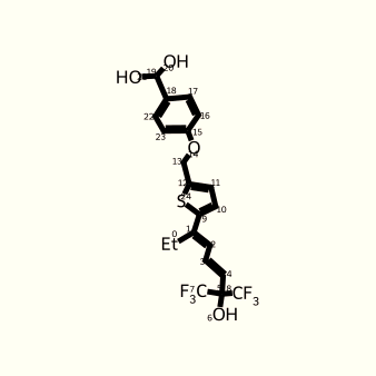 CCC(=CC=CC(O)(C(F)(F)F)C(F)(F)F)c1ccc(COc2ccc(C(O)O)cc2)s1